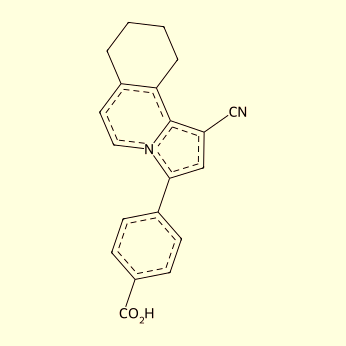 N#Cc1cc(-c2ccc(C(=O)O)cc2)n2ccc3c(c12)CCCC3